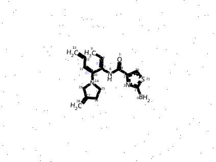 Bc1nc(C(=O)NC(=C/C)/C(=C\C=C)N2CCC(=C)C2)cs1